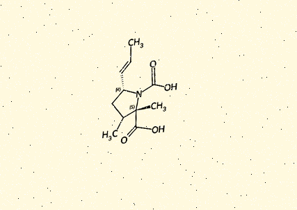 CC=C[C@H]1CC(C)[C@@](C)(C(=O)O)N1C(=O)O